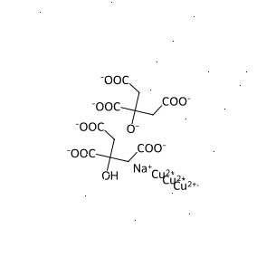 O=C([O-])CC(O)(CC(=O)[O-])C(=O)[O-].O=C([O-])CC([O-])(CC(=O)[O-])C(=O)[O-].[Cu+2].[Cu+2].[Cu+2].[Na+]